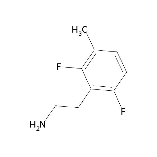 Cc1ccc(F)c(CCN)c1F